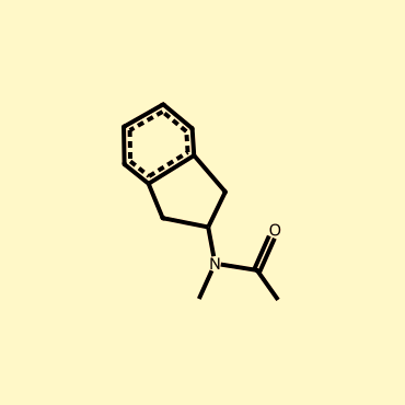 CC(=O)N(C)C1Cc2ccccc2C1